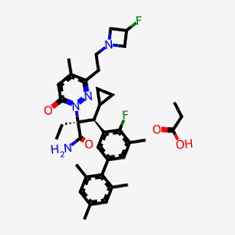 CCC(=O)O.CC[C@@](C(N)=O)([C@H](c1cc(-c2c(C)cc(C)cc2C)cc(C)c1F)C1CC1)n1nc(CCN2CC(F)C2)c(C)cc1=O